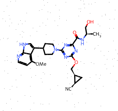 COc1ccnc2[nH]cc(C3CCN(c4nc(OC[C@H]5C[C@H]5C#N)nc(C(=O)N[C@H](C)CO)n4)CC3)c12